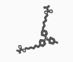 C=C(C)C(=O)OCCCCCCc1ccc(N(c2ccc(C)cc2)c2ccc(CCCCCCOC(=O)C(=C)C)cc2)cc1